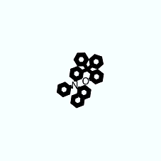 c1ccc(N(c2cccc3c2Oc2ccccc2C3(c2ccccc2)c2ccccc2)c2cccc3ccccc23)cc1